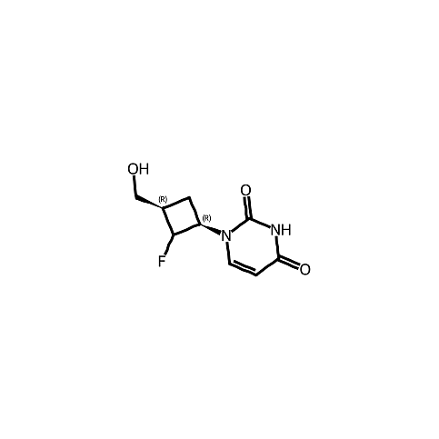 O=c1ccn([C@@H]2C[C@H](CO)C2F)c(=O)[nH]1